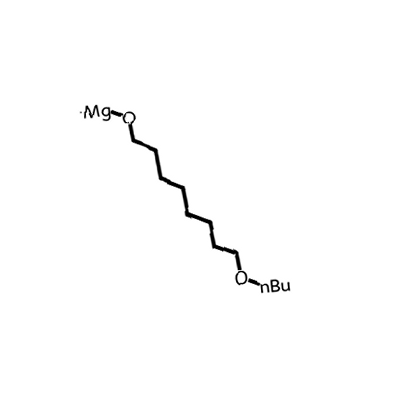 CCCCOCCCCCCCC[O][Mg]